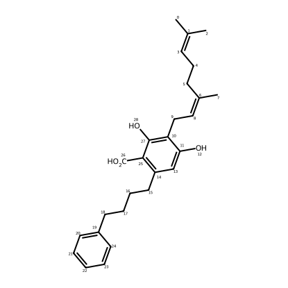 CC(C)=CCCC(C)=CCc1c(O)cc(CCCCc2ccccc2)c(C(=O)O)c1O